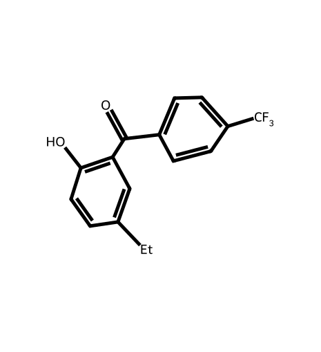 CCc1ccc(O)c(C(=O)c2ccc(C(F)(F)F)cc2)c1